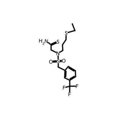 CCSCCCN(CC(N)=S)S(=O)(=O)Cc1cccc(C(F)(F)F)c1